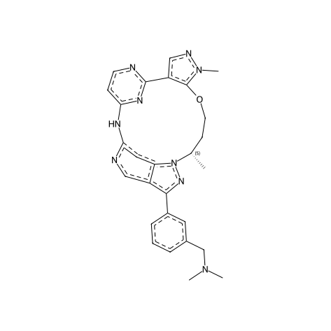 C[C@H]1CCOc2c(cnn2C)-c2nccc(n2)Nc2cc3c(cn2)c(-c2cccc(CN(C)C)c2)nn31